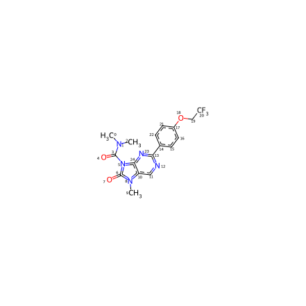 CN(C)C(=O)n1c(=O)n(C)c2cnc(-c3ccc(OCC(F)(F)F)cc3)nc21